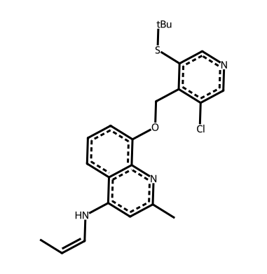 C/C=C\Nc1cc(C)nc2c(OCc3c(Cl)cncc3SC(C)(C)C)cccc12